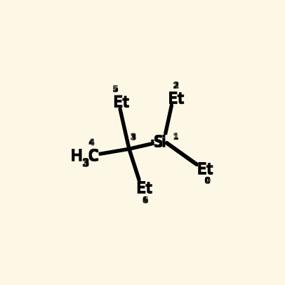 CC[Si](CC)C(C)(CC)CC